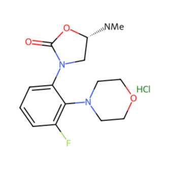 CN[C@@H]1CN(c2cccc(F)c2N2CCOCC2)C(=O)O1.Cl